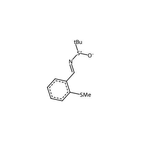 CSc1ccccc1C=N[S+]([O-])C(C)(C)C